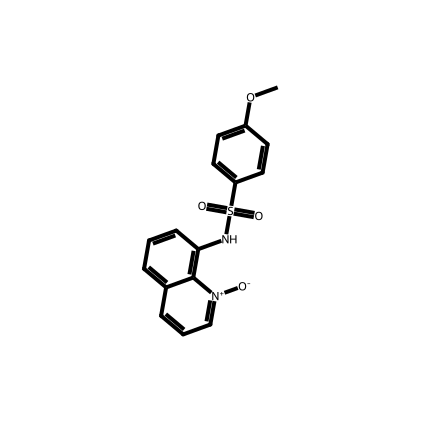 COc1ccc(S(=O)(=O)Nc2cccc3ccc[n+]([O-])c23)cc1